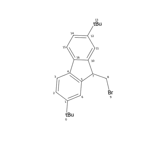 CC(C)(C)c1ccc2c(c1)C(CBr)c1cc(C(C)(C)C)ccc1-2